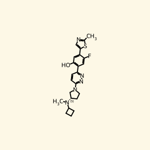 Cc1ncc(-c2cc(O)c(-c3ccc(N4CC[C@H](N(C)C5CCC5)C4)nn3)cc2F)s1